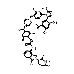 Cc1cc(C(=O)N2CCN(Cc3ccc(-n4c(O)nnc4-c4cc(C(C)C)c(O)cc4O)cc3F)CC2)cc(C)c1OC(=O)Nc1cccc2c1CN(C1CCC(=O)NC1=O)C2=O